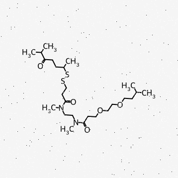 CC(C)CCOCCOCCC(=O)N(C)CCN(C)C(=O)CCSSC(C)CCC(=O)C(C)C